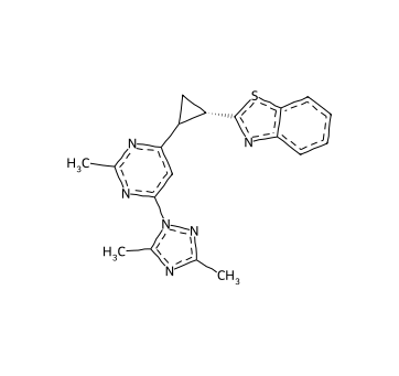 Cc1nc(C2C[C@@H]2c2nc3ccccc3s2)cc(-n2nc(C)nc2C)n1